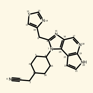 N#CCC1CCC(n2c(Cc3cscn3)nc3cnc4[nH]ccc4c32)CC1